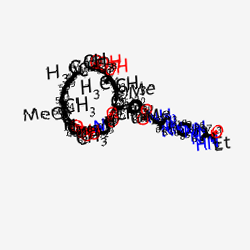 CCNC(=O)c1cnc(N2CCN(c3ncc(CNC(=O)O[C@@H]4CC[C@@H](C[C@@H](C)[C@@H]5C[C@@H](OC)[C@H](C)/C=C(\C)[C@@H](O)[C@@H](O)C(=O)[C@H](C)C[C@H](C)/C=C/C=C/C=C(\C)[C@@H](OC)C[C@@H]6CC[C@@H](C)[C@@](O)(O6)C(=O)C(=O)N6CCCC[C@H]6C(=O)O5)C[C@H]4OC)cn3)CC2)nc1